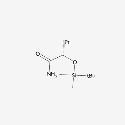 CC(C)[C@H](O[Si](C)(C)C(C)(C)C)C(N)=O